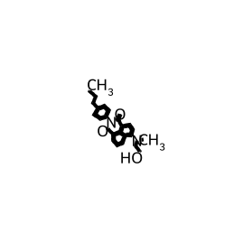 CCCCc1ccc(N2C(=O)c3cccc4c(N(C)CCO)ccc(c34)C2=O)cc1